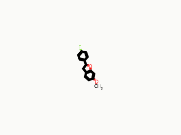 COc1ccc2c(c1)OC(c1ccc(F)cc1)C2